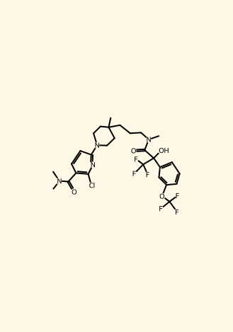 CN(C)C(=O)c1ccc(N2CCC(C)(CCCN(C)C(=O)C(O)(c3cccc(OC(F)(F)F)c3)C(F)(F)F)CC2)nc1Cl